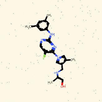 Cc1cc(C)cc(Nc2ncc(F)c(-n3cc(C)c(CNC(C)CO)c3)n2)c1